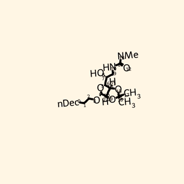 CCCCCCCCCCCCO[C@H]1O[C@H]([C@H](O)CNC(=O)NC)[C@@H]2OC(C)(C)O[C@H]12